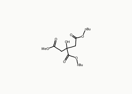 CCCCOC(=O)CC(O)(CC(=O)OC)C(=O)OCCCC